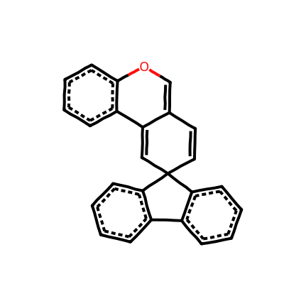 C1=CC2(C=C3C1=COc1ccccc13)c1ccccc1-c1ccccc12